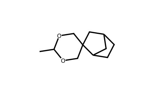 CC1OCC2(CO1)CC1CCC2C1